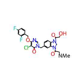 CNCC(=O)N1CN(C(=O)CO)c2ccc(Cn3cnc(OCc4ccc(F)cc4F)c(Cl)c3=O)cc21